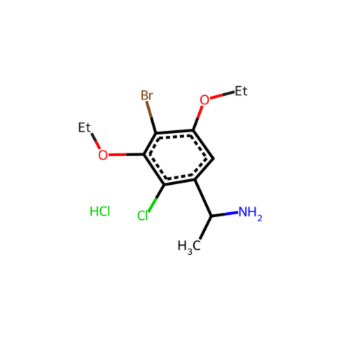 CCOc1cc(C(C)N)c(Cl)c(OCC)c1Br.Cl